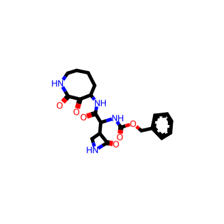 O=C(NC(C(=O)NC1CCCCNC(=O)C1=O)C1CNC1=O)OCc1ccccc1